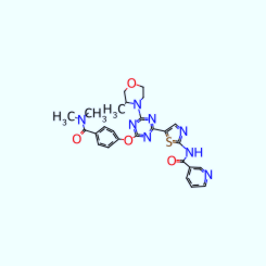 CC1COCCN1c1nc(Oc2ccc(C(=O)N(C)C)cc2)nc(-c2cnc(NC(=O)c3cccnc3)s2)n1